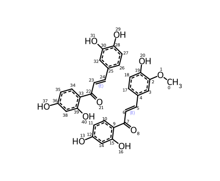 COc1cc(/C=C/C(=O)c2ccc(O)cc2O)ccc1O.O=C(/C=C/c1ccc(O)c(O)c1)c1ccc(O)cc1O